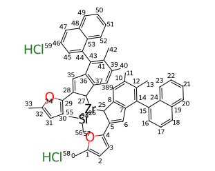 Cc1ccc(C2=Cc3c(cc(C)c(C)c3-c3cccc4ccccc34)[CH]2[Zr]([CH]2C(c3ccc(C)o3)=Cc3c2cc(C)c(C)c3-c2cccc3ccccc23)=[Si](C)C)o1.Cl.Cl